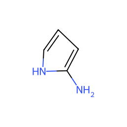 Nc1ccc[nH]1